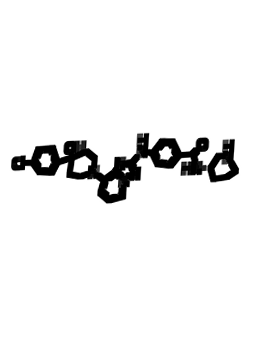 O=C(N[C@H]1CCCNC1)c1ccc(Nc2nc3c(N4CCC(O)(c5ccc(Cl)cc5)CC4)cccn3n2)cc1